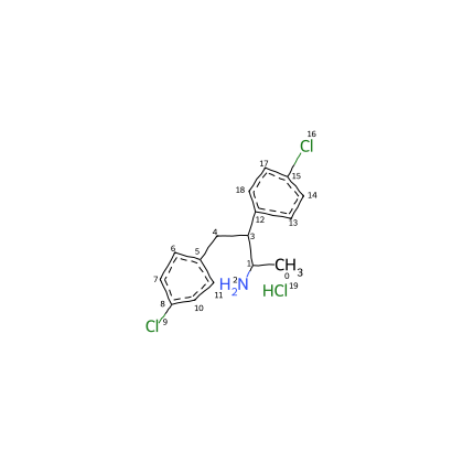 CC(N)C(Cc1ccc(Cl)cc1)c1ccc(Cl)cc1.Cl